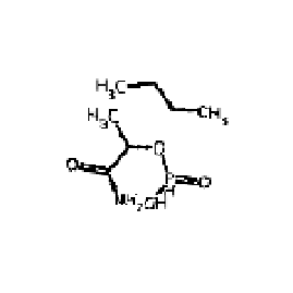 CC(O[PH](=O)O)C(N)=O.CCCC